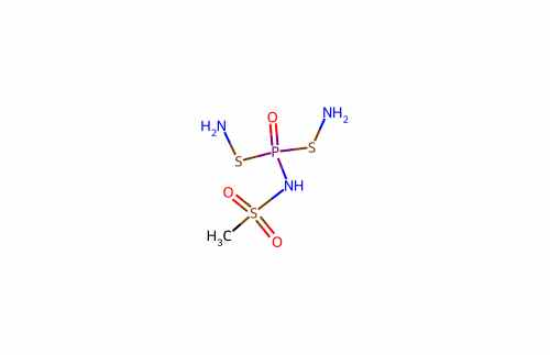 CS(=O)(=O)NP(=O)(SN)SN